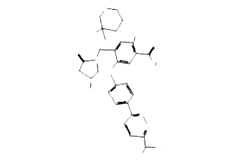 CC(C)c1ccc(-c2ccc(Oc3cc(C(N)=O)c(F)c([C@H]4CCNCC4(F)F)c3CN3C[C@@H](C)CC3=O)cc2)nn1